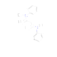 CCN([SiH2]C[SiH2]N(CC)c1ccccc1)c1ccccc1